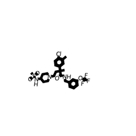 Cc1cc(C(C)(CCN2CCC(NS(C)(=O)=O)CC2)C(=O)NCc2cccc(OC(F)(F)F)c2)ccc1Cl